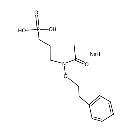 CC(=O)N(CCCP(=O)(O)O)OCCc1ccccc1.[NaH]